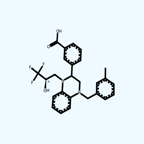 Cc1cccc(CN2CC(c3cccc(C(=O)O)c3)N(C[C@@H](O)C(F)(F)F)c3ccccc32)c1